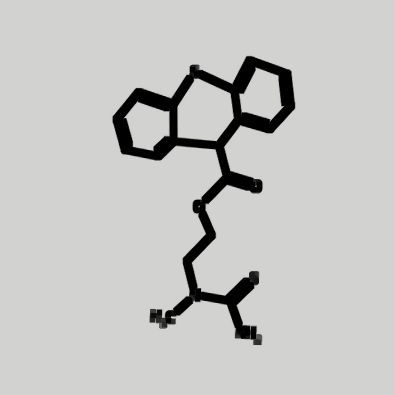 CN(CCOC(=O)C1c2ccccc2Sc2ccccc21)C(N)=S